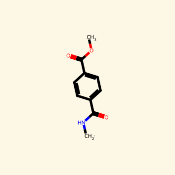 [CH2]NC(=O)c1ccc(C(=O)OC)cc1